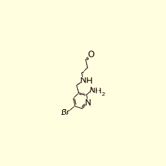 Nc1ncc(Br)cc1CNCCC=O